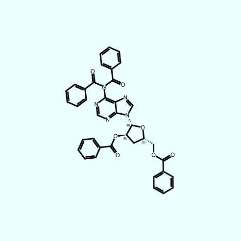 O=C(OC[C@@H]1C[C@@H](OC(=O)c2ccccc2)[C@H](n2cnc3c(N(C(=O)c4ccccc4)C(=O)c4ccccc4)ncnc32)O1)c1ccccc1